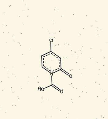 O=C(O)n1ccc(Cl)cc1=O